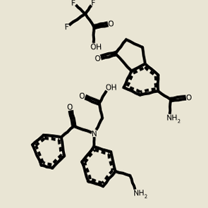 NC(=O)c1ccc2c(c1)CCC2=O.NCc1cccc(N(CC(=O)O)C(=O)c2ccccc2)c1.O=C(O)C(F)(F)F